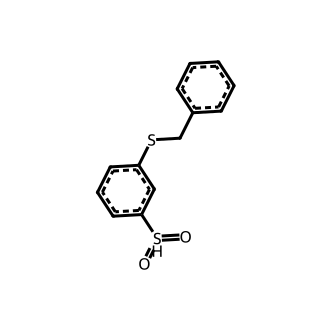 O=[SH](=O)c1cccc(SCc2ccccc2)c1